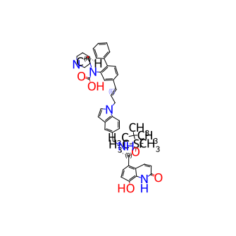 CC(C)(C)[Si](C)(C)O[C@@H](CNCc1ccc2c(ccn2C/C=C/c2ccc(-c3ccccc3)c(N(C(=O)O)[C@H]3CN4CCC3CC4)c2)c1)c1ccc(O)c2[nH]c(=O)ccc12